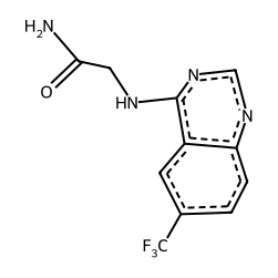 NC(=O)CNc1ncnc2ccc(C(F)(F)F)cc12